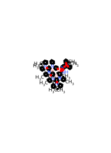 Cc1cc(C)c(N2c3cc4c(cc3B3c5ccccc5N(c5ccccc5)c5cc(N6c7ccccc7[Si](C)(C)c7ccccc76)cc2c53)B2c3cc5c(cc3N(c3c(C)cc(C)cc3C)c3cc(N6c7ccccc7[Si](C)(C)c7ccccc76)cc(c32)N4c2c(C)cc(C)cc2C)Nc2cc(N3c4ccccc4[Si](C)(C)c4ccccc43)cc3c2B5c2ccccc2N3c2ccccc2)c(C)c1